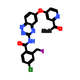 CNC(=O)c1cc(Oc2ccc3nnc(NC(=O)c4ccc(Cl)cc4CI)nc3c2)ccn1